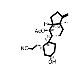 C=C1CC[C@H]2[C@H](OC(C)=O)[C@@H]([C@@]3(C)CC[C@H](O)C[C@@H]3CCC#N)CC[C@]12C